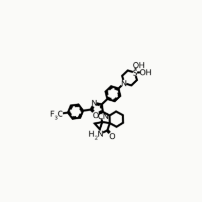 N#CC1(C2(C(N)=O)CCCCC2c2oc(-c3ccc(C(F)(F)F)cc3)nc2-c2ccc(N3CCS(O)(O)CC3)cc2)CC1